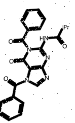 CC(C)C(=O)Nc1nc2ncn(C(=O)c3ccccc3)c2c(=O)n1C(=O)c1ccccc1